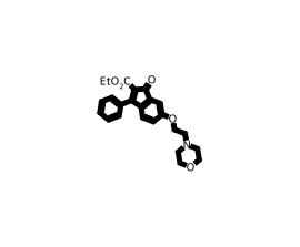 CCOC(=O)C1=C(c2ccccc2)c2ccc(OCCN3CCOCC3)cc2C1=O